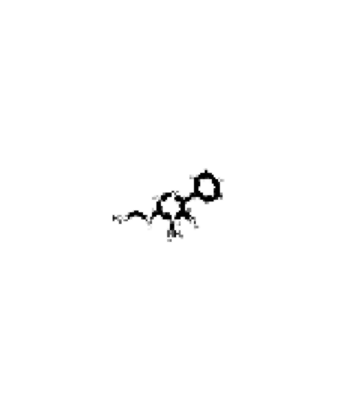 CCOc1nnc(-c2ccccc2)c(=O)n1N